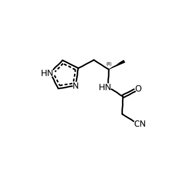 C[C@H](Cc1c[nH]cn1)NC(=O)CC#N